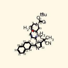 C=N/C=C\C(=N/C1CCCN(C(=O)OC(C)(C)C)C1)n1c(C(C)(C)C#N)cnc1-c1ccc2ccccc2c1